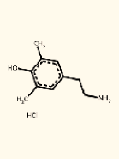 Cc1cc(CCN)cc(C)c1O.Cl